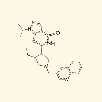 CCC1CN(Cc2cnc3ccccc3c2)CC1c1nc2c(cnn2C(C)C)c(=O)[nH]1